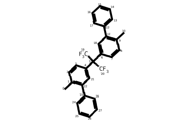 Cc1ccc(C(c2ccc(C)c(-c3ccccc3)c2)(C(F)(F)F)C(F)(F)F)cc1-c1ccccc1